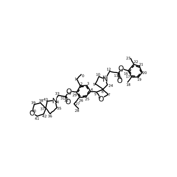 CCc1cc(C2OCC23CCN(CC(=O)Oc2c(C)cccc2C)C3)cc(CC)c1OC(=O)CN1CCC2(CCOCC2)C1